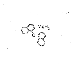 [MgH2].c1ccc2c(Oc3cccc4ccccc34)cccc2c1